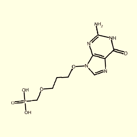 Nc1nc2c(ncn2OCCCOCP(=O)(O)O)c(=O)[nH]1